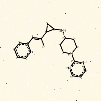 C/C(=C\c1ccccc1)C1CC1NC1CCN(c2ncccn2)CC1